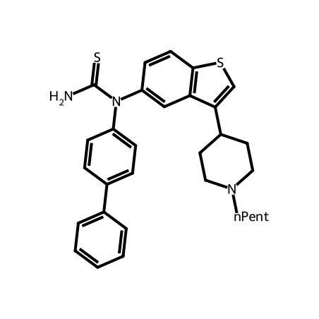 CCCCCN1CCC(c2csc3ccc(N(C(N)=S)c4ccc(-c5ccccc5)cc4)cc23)CC1